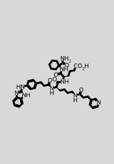 NC(=O)C1(NC(=O)[C@@H](CCCC(=O)O)NC(=O)[C@@H](CCCCNC(=O)CCc2cccnc2)NC(=O)CCc2ccc(Nc3nc4ccccc4[nH]3)cc2)CCCCC1